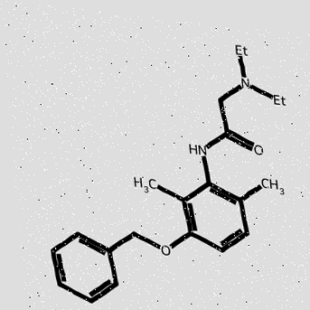 CCN(CC)CC(=O)Nc1c(C)ccc(OCc2ccccc2)c1C